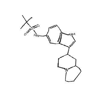 CC(C)(C)S(=O)(=O)Nc1ccc2[nH]cc(C3CCN4CCCC4C3)c2c1